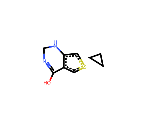 C1CC1.OC1=NCNc2cscc21